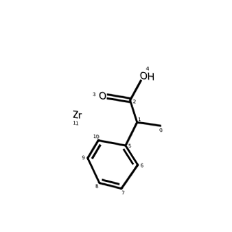 CC(C(=O)O)c1ccccc1.[Zr]